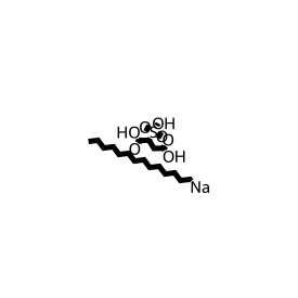 CCCCCCCCCCCCC[CH2][Na].O=C(O)CC(C(=O)O)S(=O)(=O)O